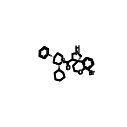 O=C(C1CNC[C@]12CCOc1c(Br)cccc12)N1CC[C@@H](c2ccccc2)C[C@H]1C1CCCCC1